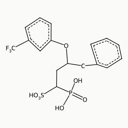 O=P(O)(O)C(CC(Cc1ccccc1)Oc1cccc(C(F)(F)F)c1)S(=O)(=O)O